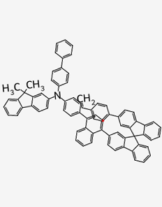 C=Cc1ccc(-c2ccc3c(c2)C2(c4ccccc4-3)c3ccccc3-c3ccc(-c4ccc(-c5ccc(N(c6ccc(-c7ccccc7)cc6)c6ccc7c(c6)C(C)(C)c6ccccc6-7)cc5)c5ccccc45)cc32)cc1